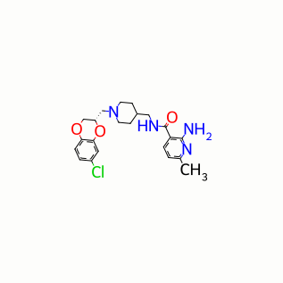 Cc1ccc(C(=O)NCC2CCN(C[C@H]3COc4ccc(Cl)cc4O3)CC2)c(N)n1